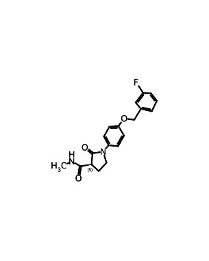 CNC(=O)[C@@H]1CCN(c2ccc(OCc3cccc(F)c3)cc2)C1=O